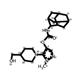 Cn1ncc(OC(=O)NC2C3CC4CC(C3)CC2C4)c1N1CCC(CO)CC1